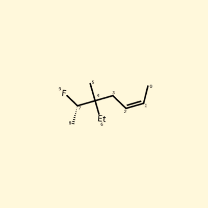 C/C=C\CC(C)(CC)[C@H](C)F